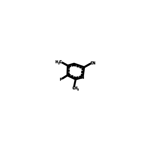 Cc1cc(C#N)nc(C)c1F